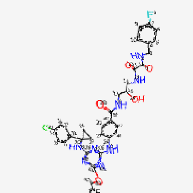 O=C(NCc1ccc(F)cc1)C(=O)NCC(O)CNC(=O)c1ccc(Nc2nc(NC3(c4ccc(Cl)cc4)CC3)nc(OCC(F)(F)F)n2)cc1